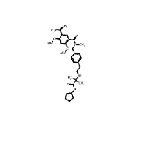 C=C(C)c1cc(C(=O)N(C)Cc2ccc(CCNC(C)(C)C(=O)OC3CCCC3)cc2)c(OCCCC)cc1OCCCC